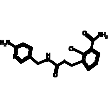 NC(=O)c1cccc(C[CH]C(=O)NCc2ccc(N)nc2)c1Cl